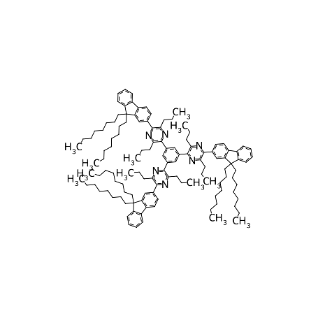 CCCCCCCCC1(CCCCCCCC)c2ccccc2-c2ccc(-c3nc(CCC)c(-c4cc(-c5nc(CCC)c(-c6ccc7c(c6)C(CCCCCCCC)(CCCCCCCC)c6ccccc6-7)nc5CCC)cc(-c5nc(CCC)c(-c6ccc7c(c6)C(CCCCCCCC)(CCCCCCCC)c6ccccc6-7)nc5CCC)c4)nc3CCC)cc21